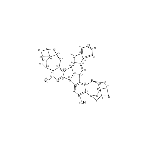 N#Cc1cc2c(c3c1C1CC4CC5CC3CC45C1)c1cc3c4ccccc4oc3c3c4c5c(c(C#N)cc4n2c13)C1CC2CC3CC5CC23C1